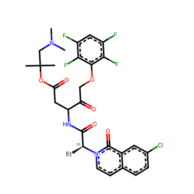 CC[C@@H](C(=O)NC(CC(=O)OC(C)(C)CN(C)C)C(=O)COc1c(F)c(F)cc(F)c1F)n1ccc2ccc(Cl)cc2c1=O